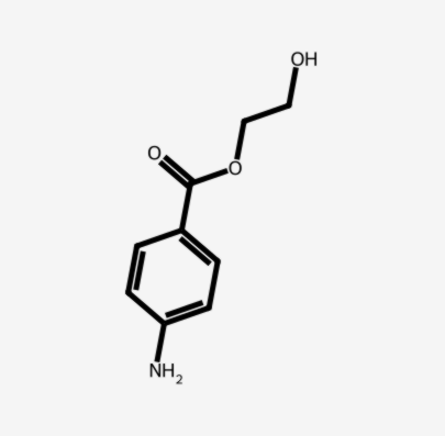 Nc1ccc(C(=O)OCCO)cc1